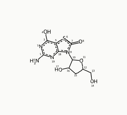 Nc1nc(O)c2sc(=O)n(C3OC(CO)CC3O)c2n1